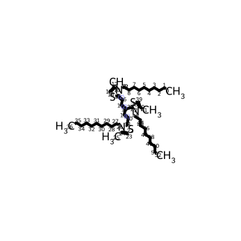 CCCCCCCCCCN1C(C)=CS\C1=C/C=C(/C=C/c1scc(C)[n+]1CCCCCCCCCC)c1scc(C)[n+]1CCCCCCCCCC